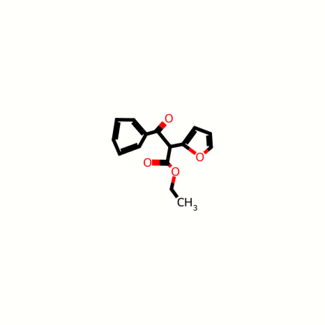 CCOC(=O)C(C(=O)c1ccccc1)c1ccco1